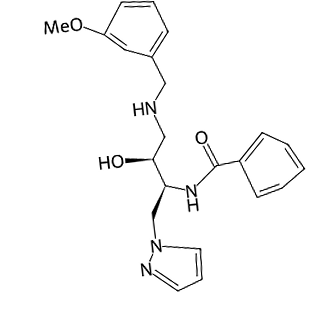 COc1cccc(CNC[C@H](O)[C@H](Cn2cccn2)NC(=O)c2ccccc2)c1